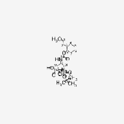 C=CCC1CCCCC1OC(=O)N[C@H]1CN(C(=O)OC(C)(C)C)[C@](C)(C(=O)O)C1